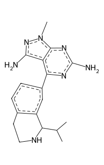 CC(C)C1NCCc2ccc(-c3nc(N)nc4c3c(N)nn4C)cc21